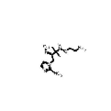 CC(C)(NOCCN)C(Cn1ccnc1[N+](=O)[O-])=NO